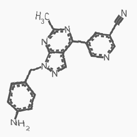 Cc1nc(-c2cncc(C#N)c2)c2cnn(Cc3ccc(N)cc3)c2n1